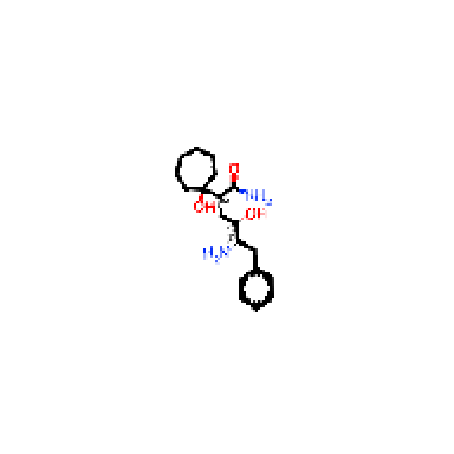 NC(=O)[C@@H](C[C@H](O)[C@@H](N)Cc1ccccc1)C1(O)CCCCCC1